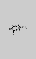 C[C@H]1CC2CNC(=O)C2C1